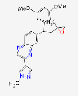 COc1cc(OC)cc(C(CC2(C)CO2)c2ccc3ncc(-c4cnn(C)c4)nc3c2)c1